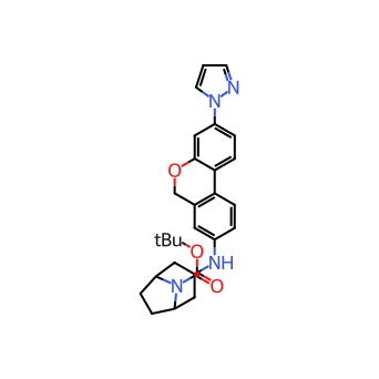 CC(C)(C)OC(=O)N1C2CCC1CC(Nc1ccc3c(c1)COc1cc(-n4cccn4)ccc1-3)C2